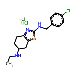 CCNC1CCc2nc(NCc3ccc(Cl)cc3)sc2C1.Cl.Cl